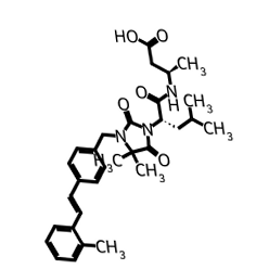 Cc1ccccc1/C=C/c1ccc(CN2C(=O)N([C@@H](CC(C)C)C(=O)N[C@H](C)CC(=O)O)C(=O)C2(C)C)cc1